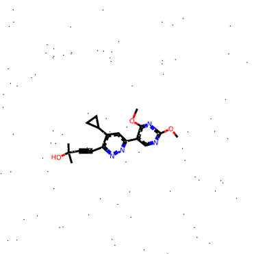 COc1ncc(-c2cc(C3CC3)c(C#CC(C)(C)O)nn2)c(OC)n1